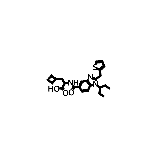 CCC(CC)n1c(Cc2cccs2)nc2cc(C(=O)NC(CC3CCC3)C(=O)O)ccc21